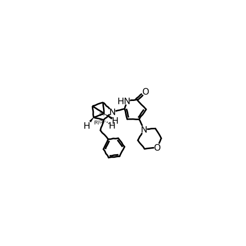 O=c1cc(N2CCOCC2)cc(N2C3C4[C@H]3[C@@H]4[C@@H]2Cc2ccccc2)[nH]1